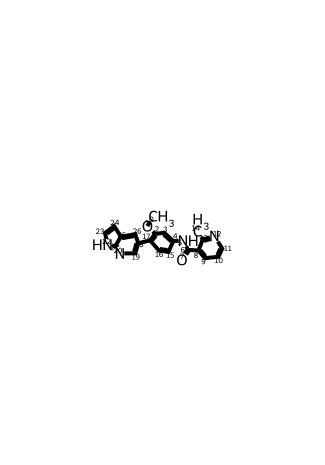 COc1cc(NC(=O)c2cccnc2C)ccc1-c1cnc2[nH]ccc2c1